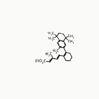 CCOC(=O)/C=C(C)/C=C/C1=C(c2cc3c(cc2C)C(C)(C)CCC3(C)C)CCCC1